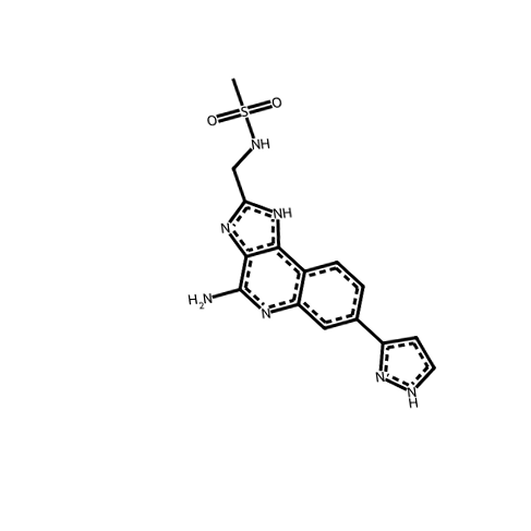 CS(=O)(=O)NCc1nc2c(N)nc3cc(-c4cc[nH]n4)ccc3c2[nH]1